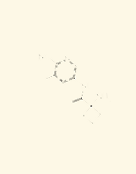 Cl.N#Cc1ncc(NC(=O)C2(N)CCC2)cc1C(F)(F)F